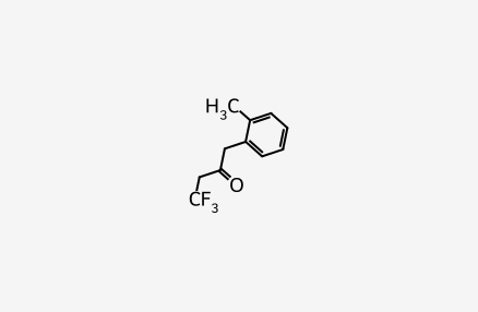 Cc1ccccc1CC(=O)CC(F)(F)F